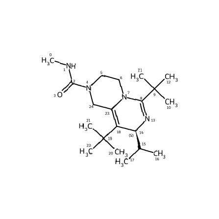 CNC(=O)N1CCN2C(C(C)(C)C)=N[C@@H](C(C)C)C(C(C)(C)C)=C2C1